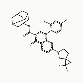 O=C(NC12CC3CC(CC(C3)C1)C2)c1cn(-c2ccc(F)cc2F)c2nc(N3CCC4(C3)CC4(F)F)ccc2c1=O